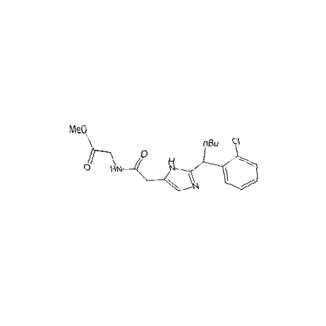 CCCCC(c1ncc(CC(=O)NCC(=O)OC)[nH]1)c1ccccc1Cl